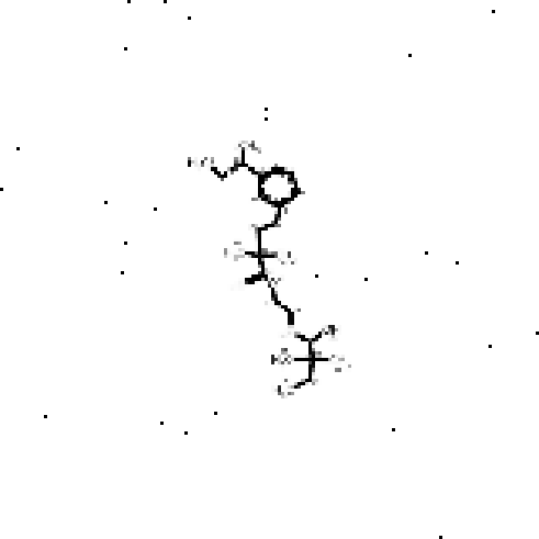 CCC(C)c1cccc(CCC(C)(C)C(=O)OCCOC(O)C(C)(C)CC)c1